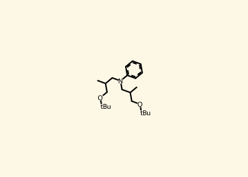 CC(COC(C)(C)C)CN(CC(C)COC(C)(C)C)c1ccccc1